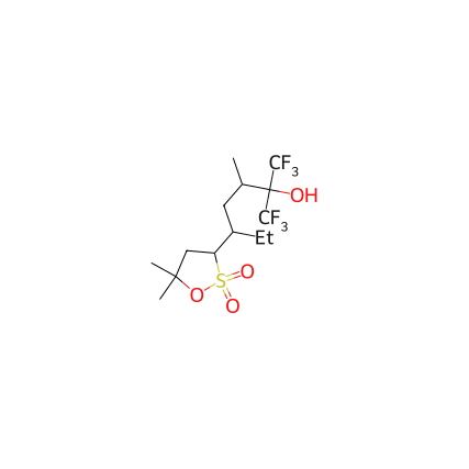 CCC(CC(C)C(O)(C(F)(F)F)C(F)(F)F)C1CC(C)(C)OS1(=O)=O